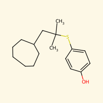 CC(C)(CC1CCCCCC1)Sc1ccc(O)cc1